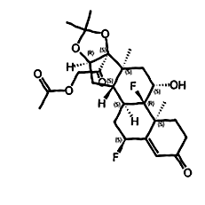 CC(=O)OCC(=O)[C@@]12OC(C)(C)O[C@@H]1C[C@H]1[C@@H]3C[C@H](F)C4=CC(=O)CC[C@]4(C)[C@@]3(F)[C@@H](O)C[C@@]12C